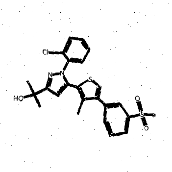 Cc1c(-c2cccc(S(C)(=O)=O)c2)csc1-c1cc(C(C)(C)O)nn1-c1ccccc1Cl